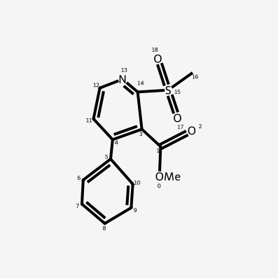 COC(=O)c1c(-c2ccccc2)ccnc1S(C)(=O)=O